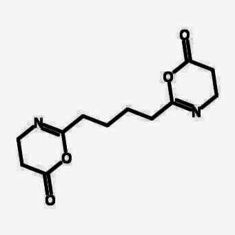 O=C1CCN=C(CCCCC2=NCCC(=O)O2)O1